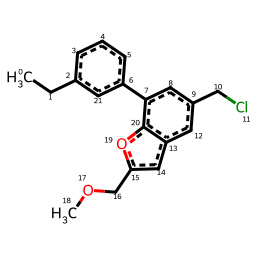 CCc1cccc(-c2cc(CCl)cc3cc(COC)oc23)c1